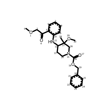 COCC(=O)c1ccccc1NC1CCN(C(=O)OCc2ccccc2)CC1(C)OC